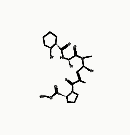 C/C(=C\[C@H](C(C)C)N(C)C(=O)[C@@H](NC(=O)[C@H]1CCCCN1C(C)C)C(C)C)C(=O)N1CCC[C@@H]1C(=O)OC(C)(C)C